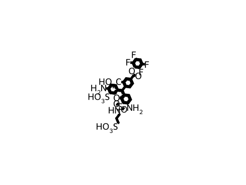 Nc1ccc2c(-c3ccc(C(=O)Oc4c(F)c(F)cc(F)c4F)cc3C(=O)O)c3ccc(N)c(S(=O)(=O)NCCCS(=O)(=O)O)c3[o+]c2c1S(=O)(=O)O